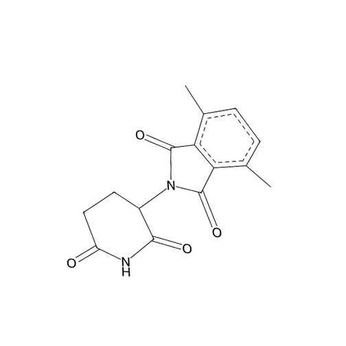 Cc1ccc(C)c2c1C(=O)N(C1CCC(=O)NC1=O)C2=O